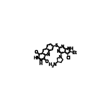 CCc1[nH]c2nc(Sc3ccc4cc5c(=O)[nH][nH]c(=O)c5nc4c3)nc(N3CC[C@@H](N)C3)c2c1Cl